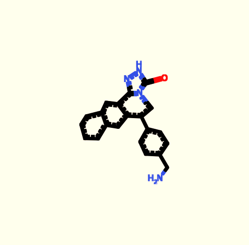 NCc1ccc(-c2cn3c(=O)[nH]nc3c3cc4ccccc4cc23)cc1